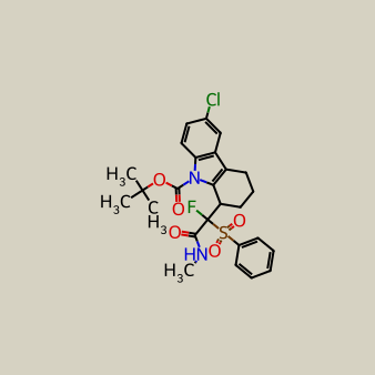 CNC(=O)C(F)(C1CCCc2c1n(C(=O)OC(C)(C)C)c1ccc(Cl)cc21)S(=O)(=O)c1ccccc1